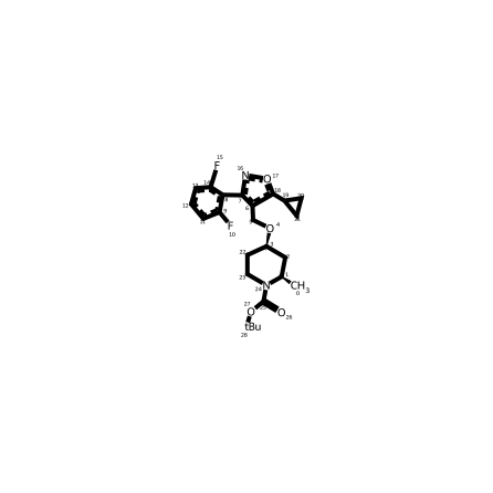 C[C@@H]1C[C@H](OCc2c(-c3c(F)cccc3F)noc2C2CC2)CCN1C(=O)OC(C)(C)C